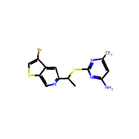 CC(Sc1nc(N)cc(C(F)(F)F)n1)c1cc2c(Br)csc2cn1